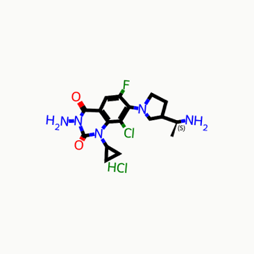 C[C@H](N)C1CCN(c2c(F)cc3c(=O)n(N)c(=O)n(C4CC4)c3c2Cl)C1.Cl